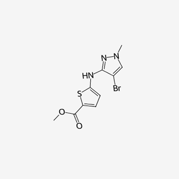 COC(=O)c1ccc(Nc2nn(C)cc2Br)s1